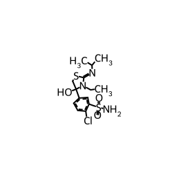 CCN1/C(=N/C(C)C)SCC1(O)c1ccc(Cl)c(S(N)(=O)=O)c1